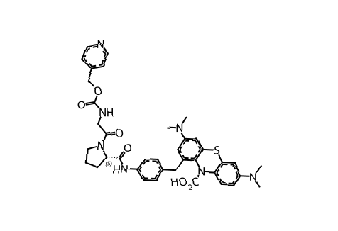 CN(C)c1ccc2c(c1)Sc1cc(N(C)C)cc(Cc3ccc(NC(=O)[C@@H]4CCCN4C(=O)CNC(=O)OCc4ccncc4)cc3)c1N2C(=O)O